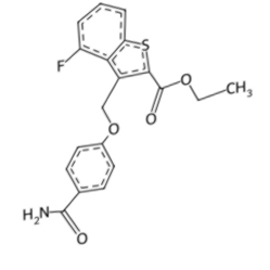 CCOC(=O)c1sc2cccc(F)c2c1COc1ccc(C(N)=O)cc1